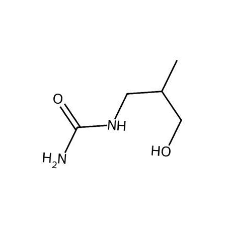 CC(CO)CNC(N)=O